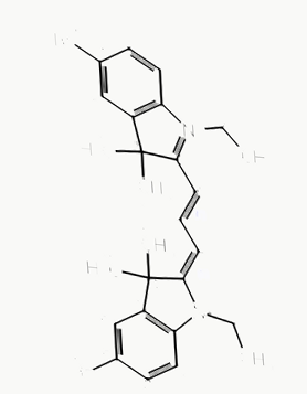 CCN1/C(=C/C=C/C2=[N+](CC)c3ccc(Br)cc3C2(C)C)C(C)(C)c2cc(Br)ccc21